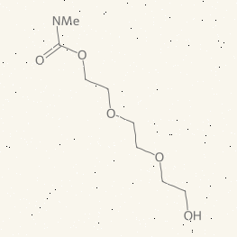 CNC(=O)OCCOCCOCCO